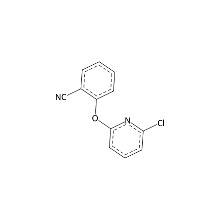 N#Cc1ccccc1Oc1cccc(Cl)n1